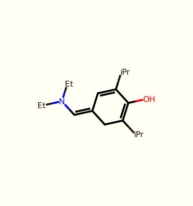 CCN(C=C1C=C(C(C)C)C(O)=C(C(C)C)C1)CC